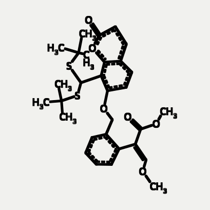 CO/C=C(/C(=O)OC)c1ccccc1COc1ccc2ccc(=O)oc2c1C(SC(C)(C)C)SC(C)(C)C